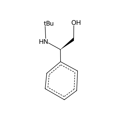 CC(C)(C)N[C@@H](CO)c1ccccc1